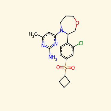 Cc1cc(N2CCCOCC2c2ccc(S(=O)(=O)C3CCC3)cc2Cl)nc(N)n1